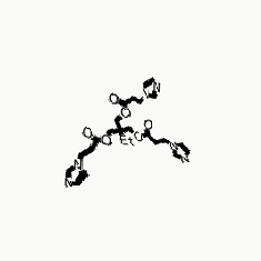 CCC(COC(=O)CCn1ccnc1)(COC(=O)CCn1ccnc1)COC(=O)CCn1ccnc1